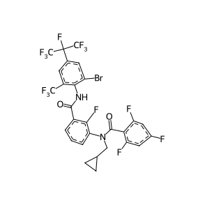 O=C(Nc1c(Br)cc(C(F)(C(F)(F)F)C(F)(F)F)cc1C(F)(F)F)c1cccc(N(CC2CC2)C(=O)c2c(F)cc(F)cc2F)c1F